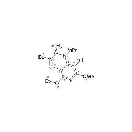 C=C(NC(C)CC)N(CCC)c1c(Cl)c(OC)cc(OCC)c1Cl